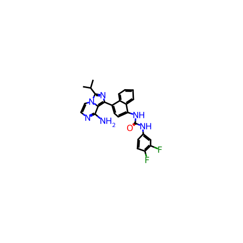 CC(C)c1nc(-c2ccc(NC(=O)Nc3ccc(F)c(F)c3)c3ccccc23)c2c(N)nccn12